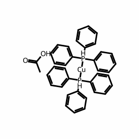 CC(=O)O.c1ccc([PH]([Cu][PH](c2ccccc2)(c2ccccc2)c2ccccc2)(c2ccccc2)c2ccccc2)cc1